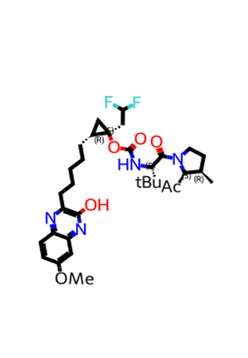 COc1ccc2nc(CCCCC[C@@H]3C[C@@]3(CC(F)F)OC(=O)N[C@H](C(=O)N3CC[C@@H](C)[C@H]3C(C)=O)C(C)(C)C)c(O)nc2c1